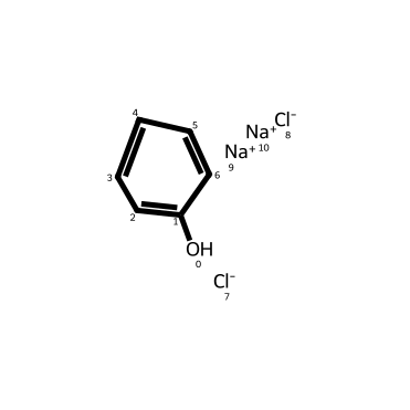 Oc1ccccc1.[Cl-].[Cl-].[Na+].[Na+]